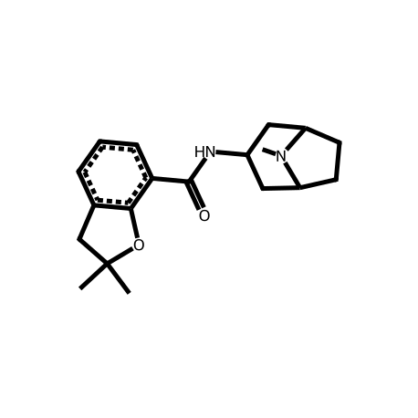 CN1C2CCC1CC(NC(=O)c1cccc3c1OC(C)(C)C3)C2